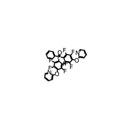 O=P(c1ccccc1)(c1c(F)c(F)c(Oc2ccccn2)c(F)c1F)c1c(F)c(F)c(Oc2ccccn2)c(F)c1F